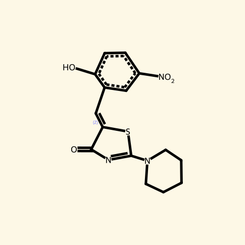 O=C1N=C(N2CCCCC2)S/C1=C\c1cc([N+](=O)[O-])ccc1O